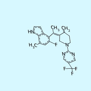 C=C1CCN(c2ncc(C(F)(F)F)cn2)C/C1=C(/C)c1c(F)cc(C)c2[nH]ccc12